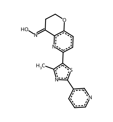 Cc1nc(-c2cccnc2)sc1-c1ccc2c(n1)/C(=N/O)CCO2